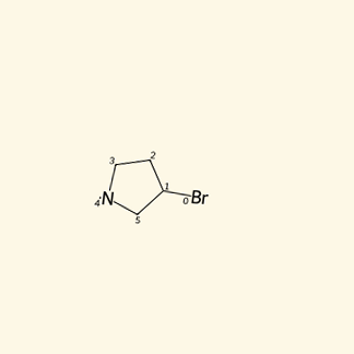 BrC1CC[N]C1